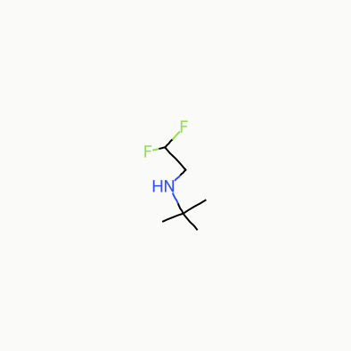 CC(C)(C)NCC(F)F